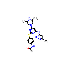 CCC(=O)Nc1ccc(Sc2nc(NC3CC(C)=NN3)cc(N3CC(C)NC(C)C3)n2)cc1